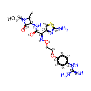 CC1C(NC(=O)C(=NOCCOc2ccc(NC(=N)N)cc2)c2csc(N)n2)C(=O)N1S(=O)(=O)O